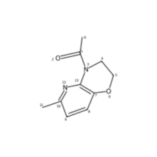 CC(=O)N1CCOc2ccc(C)nc21